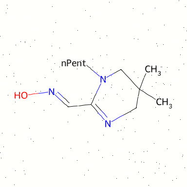 CCCCCN1CC(C)(C)CN=C1C=NO